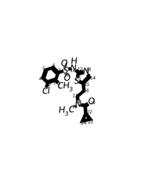 Cc1c(Cl)cccc1S(=O)(=O)Nc1ncc(CCN(C)C(=O)C2CC2)s1